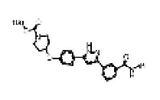 CC(C)NC(=O)c1cccc(-c2cc(-c3ccc(OC4CCN(C(=O)OC(C)(C)C)CC4)cc3)[nH]n2)c1